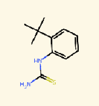 CC(C)(C)c1ccccc1NC(N)=S